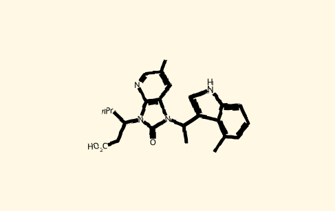 CCCC(CC(=O)O)n1c(=O)n(C(C)c2c[nH]c3cccc(C)c23)c2cc(C)cnc21